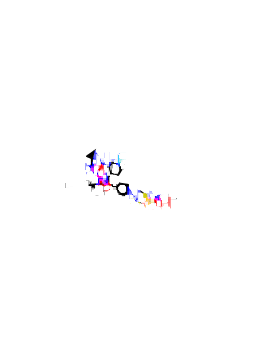 CN=[SH]1(O)CCN(c2ccc(-c3oc(C(C)(C)C)nc3[C@@H]3CC[C@H](F)C[C@H]3C(=O)NC3(C#N)CC3)cc2)CC1